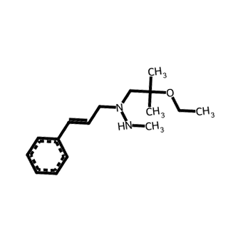 CCOC(C)(C)CN(C/C=C/c1ccccc1)NC